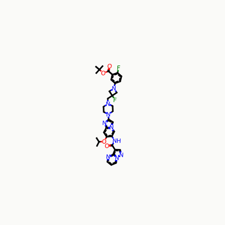 CC(C)Oc1cc2nc(N3CCN(CC4(F)CN(c5ccc(F)c(C(=O)OC(C)(C)C)c5)C4)CC3)cn2cc1NC(=O)c1cnn2cccnc12